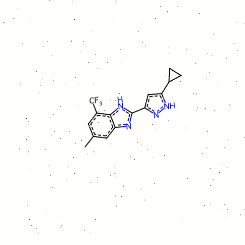 Cc1cc(C(F)(F)F)c2[nH]c(-c3cc(C4CC4)[nH]n3)nc2c1